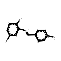 Fc1ccc(F)c(N=Cc2ccc(Br)cc2)c1